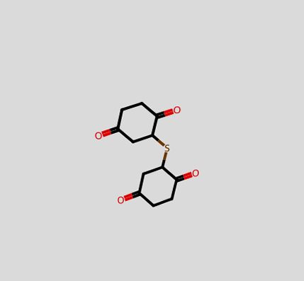 O=C1CCC(=O)C(SC2CC(=O)CCC2=O)C1